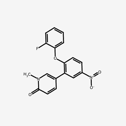 Cn1cc(-c2cc([N+](=O)[O-])ccc2Oc2ccccc2F)ccc1=O